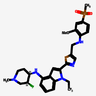 COc1cc(S(C)(=O)=O)ccc1NCc1cnc(-c2cc3c(N[C@@H]4CCN(C)C[C@@H]4F)cccc3n2CC(F)(F)F)s1